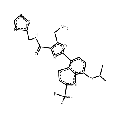 CC(C)Oc1ccc(-c2nc(C(=O)NCc3nccs3)c(CN)o2)c2ccc(C(F)(F)F)nc12